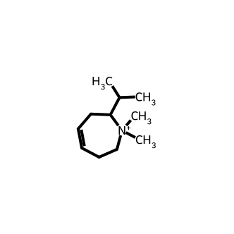 CC(C)C1CC=CCC[N+]1(C)C